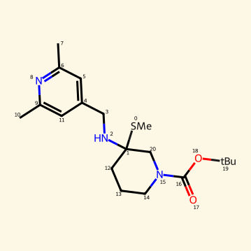 CSC1(NCc2cc(C)nc(C)c2)CCCN(C(=O)OC(C)(C)C)C1